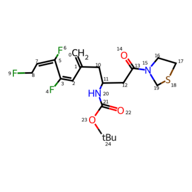 C=C(/C=C(F)\C(F)=C/CF)CC(CC(=O)N1CCSC1)NC(=O)OC(C)(C)C